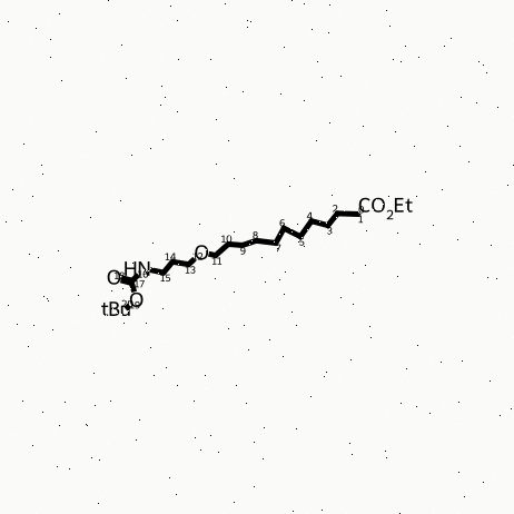 CCOC(=O)CCCCCCCCCCCOCCCNC(=O)OC(C)(C)C